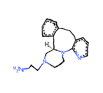 NCCN1CCN2c3ncccc3Cc3ccccc3[C@@H]2C1